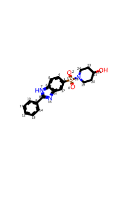 O=S(=O)(c1ccc2[nH]c(-c3ccccc3)nc2c1)N1CCC(O)CC1